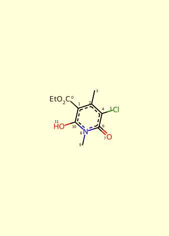 CCOC(=O)c1c(C)c(Cl)c(=O)n(C)c1O